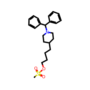 CS(=O)(=O)OCCCCC1CCN(C(c2ccccc2)c2ccccc2)CC1